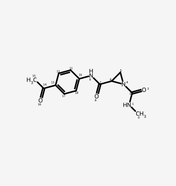 CNC(=O)N1CC1C(=O)Nc1ccc(C(C)=O)cc1